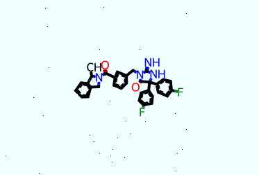 CC1c2ccccc2CN1C(=O)c1cccc(CN2C(=N)NC(c3ccc(F)cc3)(c3ccc(F)cc3)C2=O)c1